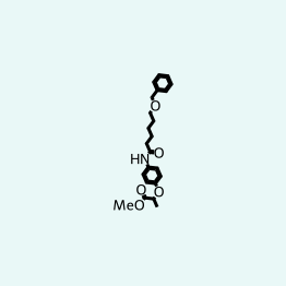 COC(=O)C(C)Oc1ccc(NC(=O)CCCCCOCc2ccccc2)cc1